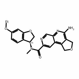 CCOc1ccc2c(c1)OC[C@H]2N(C)C(=O)c1cc2c3c(c(N)nc2cn1)COC3